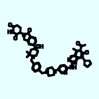 CC(=O)c1c(C)c2cnc(Nc3ccc(N4CCN(Cc5ccc(CN6CC[C@](O)(c7ccc8c(c7)CN(C7CCC(=O)NC7=O)C8=O)CC6(C)C)cc5)CC4)cn3)nc2n(C2CCCC2)c1=O